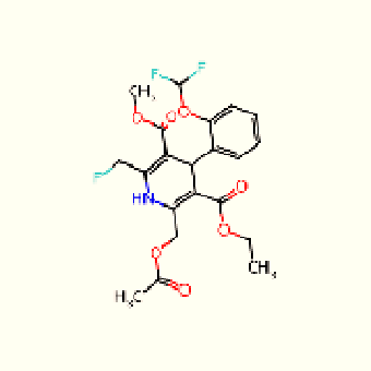 CCOC(=O)C1=C(COC(C)=O)NC(CF)=C(C(=O)OC)C1c1ccccc1OC(F)F